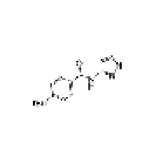 Cn1ccc(NC(=O)c2ccc(C(C)(C)C)cc2)n1